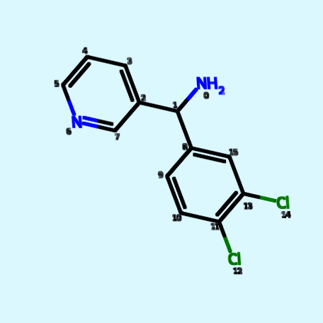 NC(c1cccnc1)c1ccc(Cl)c(Cl)c1